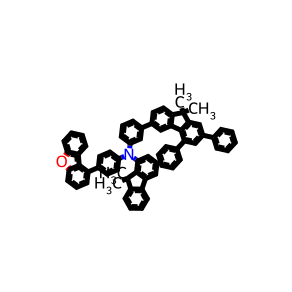 CC1(C)c2ccc(-c3cccc(N(c4ccc(-c5cccc6oc7ccccc7c56)cc4)c4cccc5c4C(C)(C)c4ccccc4-5)c3)cc2-c2c(-c3ccccc3)cc(-c3ccccc3)cc21